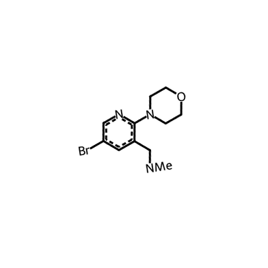 CNCc1cc(Br)cnc1N1CCOCC1